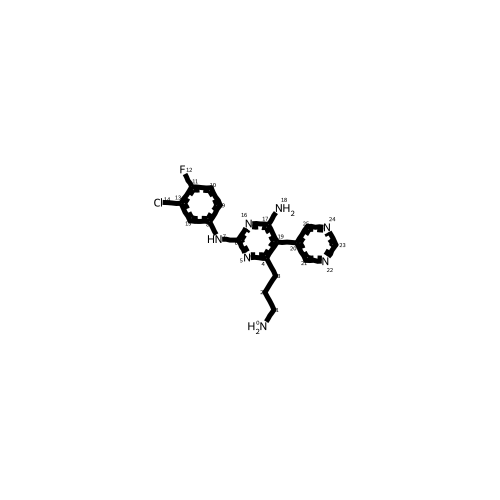 NCCCc1nc(Nc2ccc(F)c(Cl)c2)nc(N)c1-c1cncnc1